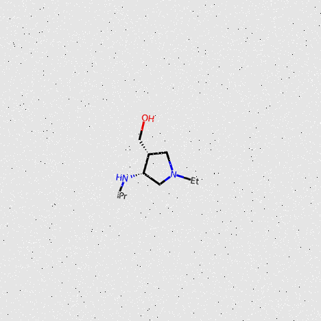 CCN1C[C@@H](CO)[C@@H](NC(C)C)C1